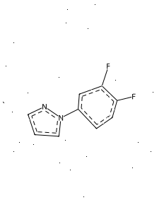 Fc1ccc(-n2cccn2)cc1F